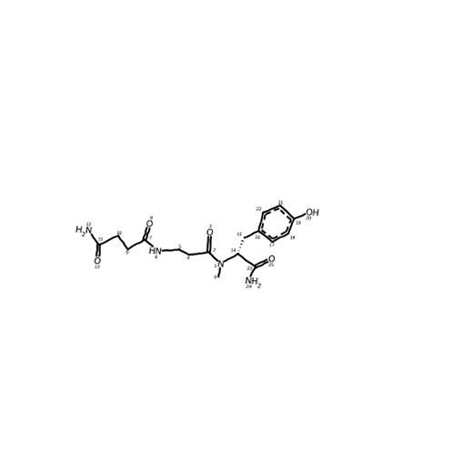 CN(C(=O)CCNC(=O)CCC(N)=O)[C@H](Cc1ccc(O)cc1)C(N)=O